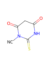 N#CN1C(=O)CC(=O)NC1=S